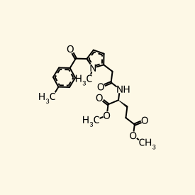 COC(=O)CC[C@H](NC(=O)Cc1ccc(C(=O)c2ccc(C)cc2)n1C)C(=O)OC